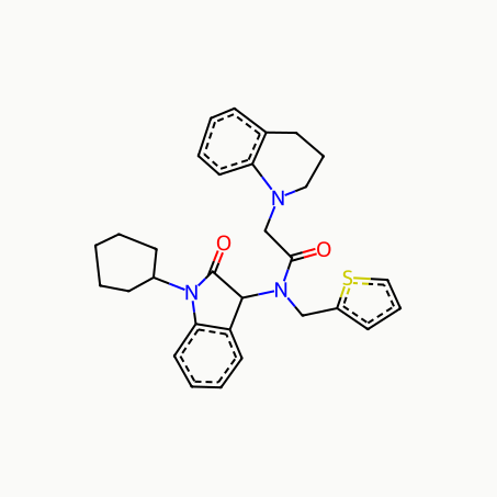 O=C(CN1CCCc2ccccc21)N(Cc1cccs1)C1C(=O)N(C2CCCCC2)c2ccccc21